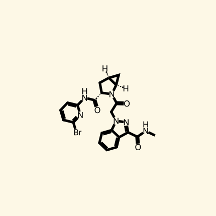 CNC(=O)c1nn(CC(=O)N2[C@@H]3C[C@@H]3C[C@H]2C(=O)Nc2cccc(Br)n2)c2ccccc12